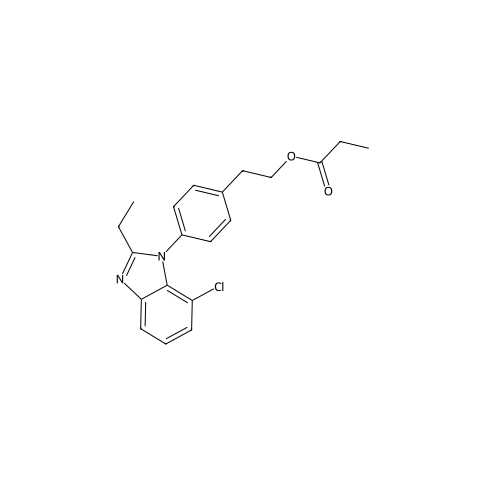 CCC(=O)OCCc1ccc(-n2c(CC)nc3cccc(Cl)c32)cc1